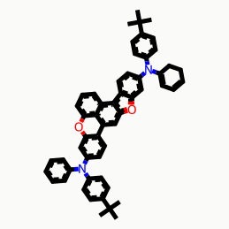 CC(C)(C)c1ccc(N(C2=CC=CCC2)c2ccc3c(c2)oc2cc4c5c(cccc5c23)Oc2cc(N(c3ccccc3)c3ccc(C(C)(C)C)cc3)ccc2-4)cc1